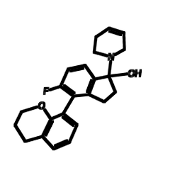 OC1(N2CC=CCC2)CCc2c1ccc(F)c2-c1cccc2c1OCCC2